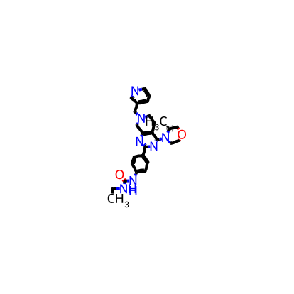 CCNC(=O)Nc1ccc(-c2nc3c(c(N4CCOC[C@@H]4C)n2)CCN(Cc2cccnc2)C3)cc1